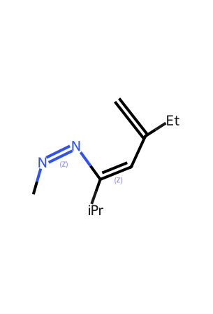 C=C(/C=C(\N=N/C)C(C)C)CC